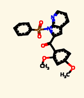 COc1ccc(C(=O)c2cc3cccnc3n2S(=O)(=O)c2ccccc2)c(OC)c1